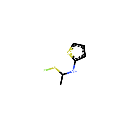 CC(Nc1cccs1)SF